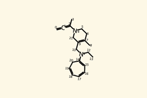 C=C=C(C)N1CCC(C)=C(CN(CC)C2=CC=CC=CC2)C1